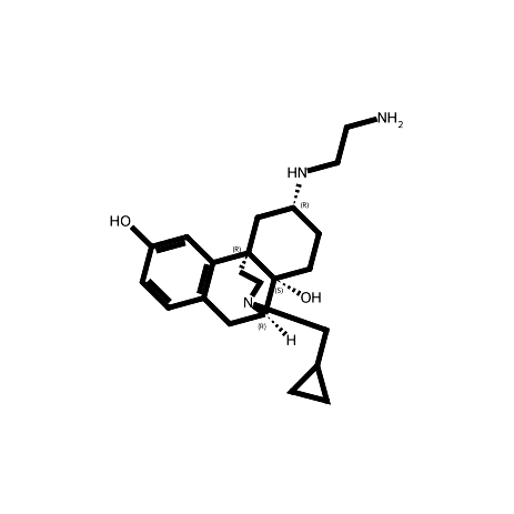 NCCN[C@@H]1CC[C@@]2(O)[C@H]3Cc4ccc(O)cc4[C@@]2(CCN3CC2CC2)C1